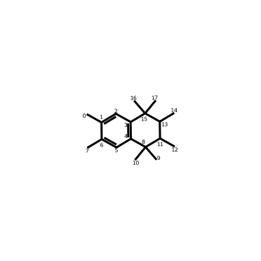 Cc1cc2c(cc1C)C(C)(C)C(C)C(C)C2(C)C